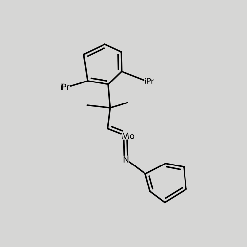 CC(C)c1cccc(C(C)C)c1C(C)(C)[CH]=[Mo]=[N]c1ccccc1